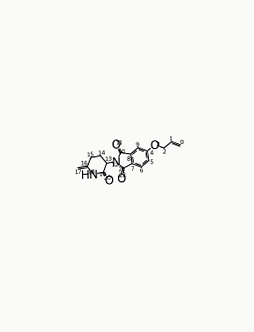 C=CCOc1ccc2c(c1)C(=O)N(C1CCC(=C)NC1=O)C2=O